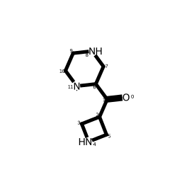 O=C(C1CNC1)C1CNCC[N]1